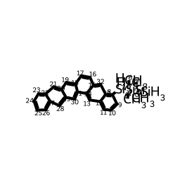 C[Si](C)([SiH3])[Si](C)(C)[SiH2]c1cccc2cc3c(ccc4cc5cc6ccccc6cc5cc43)cc12